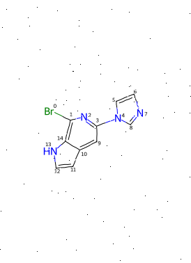 Brc1nc(-n2ccnc2)cc2cc[nH]c12